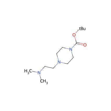 CN(C)CCN1CCN(C(=O)OC(C)(C)C)CC1